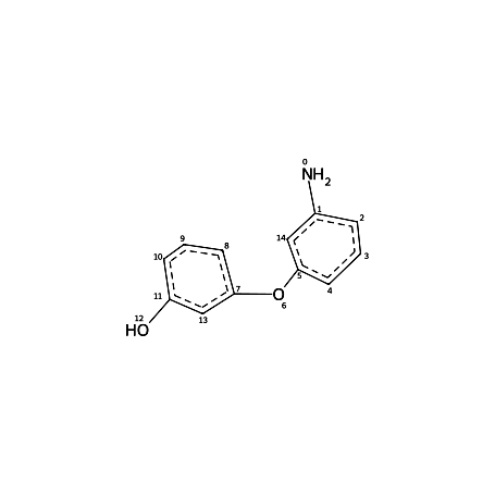 Nc1cccc(Oc2cccc(O)c2)c1